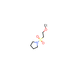 CCOCCS(=O)(=O)N1CCCC1